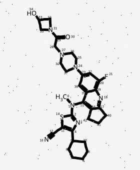 CN(c1nc(C2CCCCC2)c(C#N)s1)c1c2c(nc3c(F)cc(N4CCN(CC(=O)N5CC(O)C5)CC4)cc13)CCC2